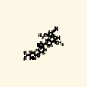 Cc1cc(C#N)nn1-c1nc(-c2cnn3cc(Oc4ccc(C(F)F)nn4)ccc23)ccc1[C@H](C)O